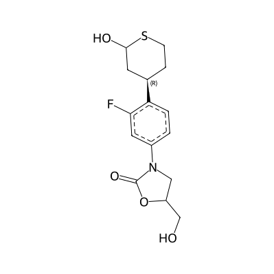 O=C1OC(CO)CN1c1ccc([C@@H]2CCSC(O)C2)c(F)c1